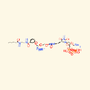 CCCCCC(=O)NCCNC(=O)c1cccc(OCC(N=[N+]=[N-])OCCOCC(=O)NCC#Cc2cn(C3CC(OCN)C(COP(=O)(O)OP(=O)(O)OP(=O)(O)O)O3)c(=O)[nH]c2=O)c1